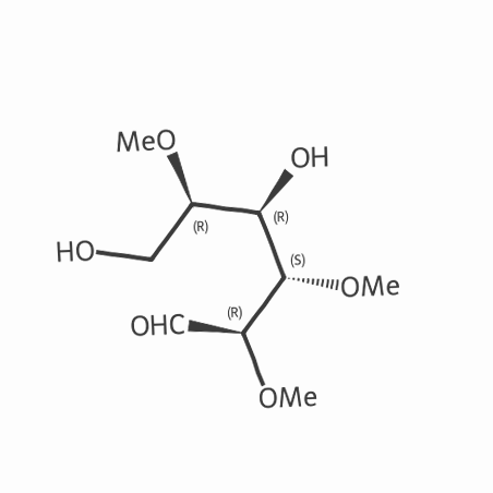 CO[C@@H]([C@H](O)[C@@H](CO)OC)[C@H](C=O)OC